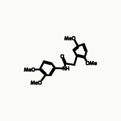 COc1ccc(OC)c(CC(=O)Nc2ccc(OC)c(OC)c2)c1